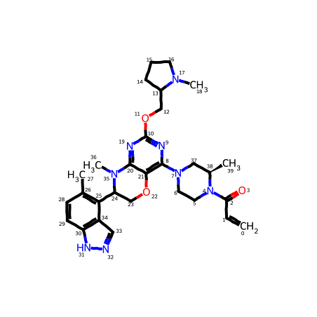 C=CC(=O)N1CCN(c2nc(OCC3CCCN3C)nc3c2OCC(c2c(C)ccc4[nH]ncc24)N3C)C[C@H]1C